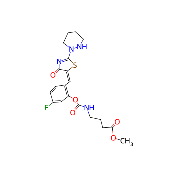 COC(=O)CCCNC(=O)Oc1cc(F)ccc1/C=C1/SC(N2CCCCN2)=NC1=O